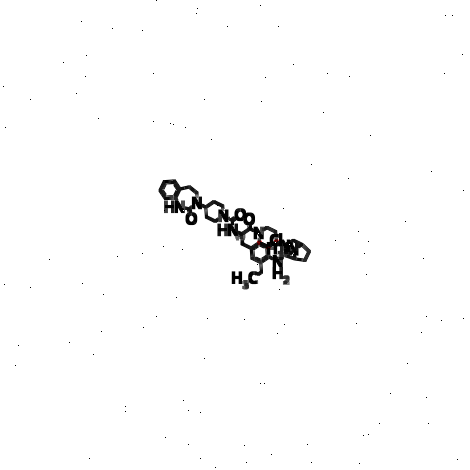 CCc1cc(C[C@@H](NC(=O)N2CCC(N3CCc4ccccc4NC3=O)CC2)C(=O)N2CCC(N3CC4CCC(C3)N4C)CC2)cc(Cl)c1N